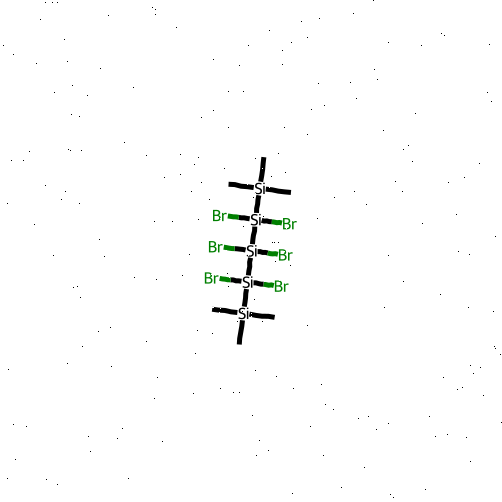 C[Si](C)(C)[Si](Br)(Br)[Si](Br)(Br)[Si](Br)(Br)[Si](C)(C)C